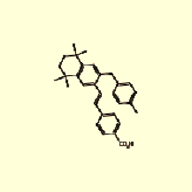 Cc1ccc(Cc2cc3c(cc2C=Cc2ccc(C(=O)O)cc2)C(C)(C)CCC3(C)C)cc1